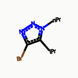 CCCn1nnc(Br)c1C(C)C